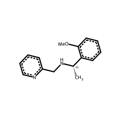 COc1ccccc1[C@H](C)NCc1ccccn1